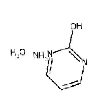 N.O.Oc1ncccn1